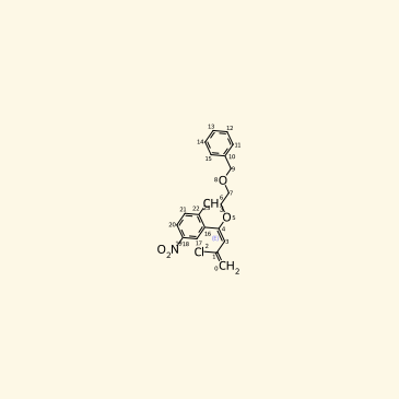 C=C(Cl)/C=C(/OCCOCc1ccccc1)c1cc([N+](=O)[O-])ccc1C